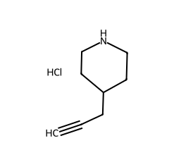 C#CCC1CCNCC1.Cl